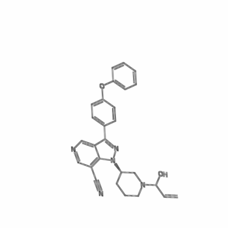 C=CC(O)N1CCC[C@@H](n2nc(-c3ccc(Oc4ccccc4)cc3)c3cncc(C#N)c32)C1